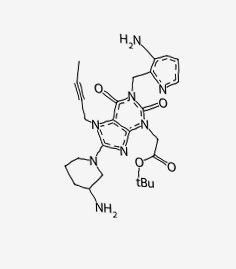 CC#CCn1c(N2CCCC(N)C2)nc2c1c(=O)n(Cc1ncccc1N)c(=O)n2CC(=O)OC(C)(C)C